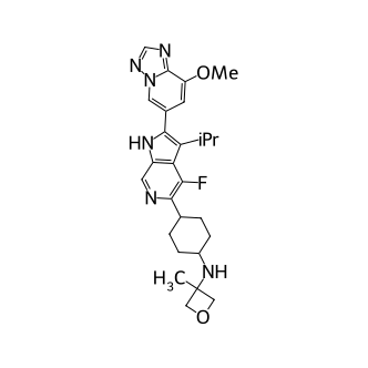 COc1cc(-c2[nH]c3cnc(C4CCC(NC5(C)COC5)CC4)c(F)c3c2C(C)C)cn2ncnc12